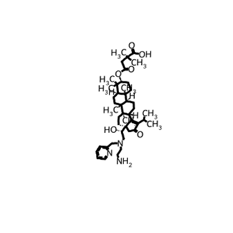 CC(C)C1=C2[C@H]3CC[C@@H]4[C@@]5(C)CC[C@H](OC(=O)CC(C)(C)C(=O)O)C(C)(C)[C@@H]5CC[C@@]4(C)[C@]3(C)CC[C@@]2([C@@H](O)CN(CCN)Cc2ccccn2)CC1=O